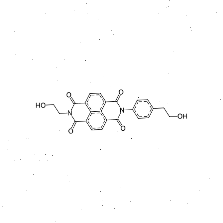 O=C1c2ccc3c4c(ccc(c24)C(=O)N1CCO)C(=O)N(c1ccc(CCO)cc1)C3=O